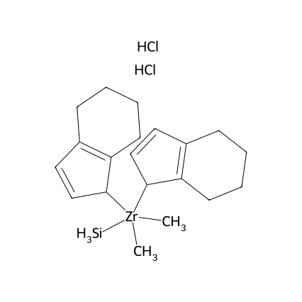 Cl.Cl.[CH3][Zr]([CH3])([SiH3])([CH]1C=CC2=C1CCCC2)[CH]1C=CC2=C1CCCC2